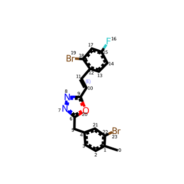 Cc1ccc(Cc2nnc(/C=C/c3ccc(F)cc3Br)o2)cc1Br